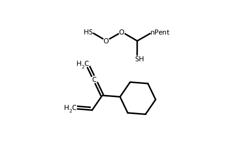 C=C=C(C=C)C1CCCCC1.CCCCCC(S)OOS